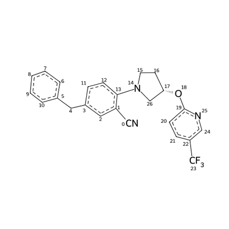 N#Cc1cc(Cc2ccccc2)ccc1N1CC[C@H](Oc2ccc(C(F)(F)F)cn2)C1